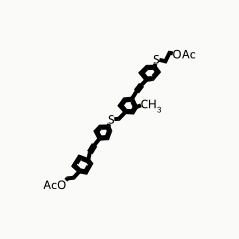 CC(=O)OCCSc1ccc(C#Cc2ccc(CSc3ccc(C#Cc4ccc(CCOC(C)=O)cc4)cc3)cc2C)cc1